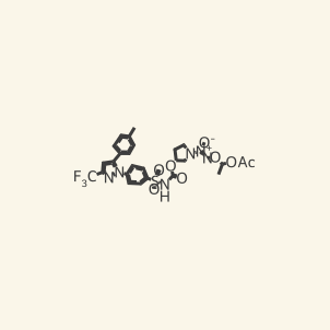 CC(=O)OC(C)ON=[N+]([O-])N1CCC(OC(=O)NS(=O)(=O)c2ccc(-n3nc(C(F)(F)F)cc3-c3ccc(C)cc3)cc2)C1